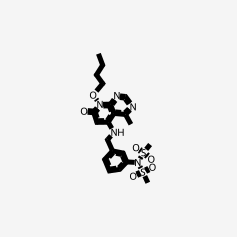 CCCCOn1c(=O)cc(NCc2cccc(N(S(C)(=O)=O)S(C)(=O)=O)c2)c2c(C)ncnc21